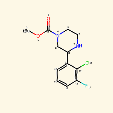 CC(C)(C)OC(=O)N1CCNC(c2cccc(F)c2Cl)C1